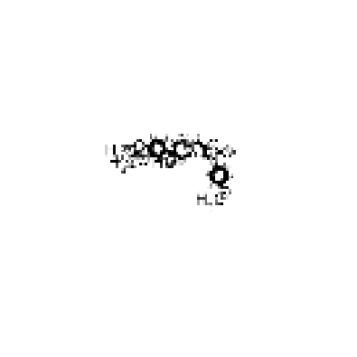 COc1ccc(N2CC(CN3CCC(O)(c4ccc5c(c4)OC(C)(C)O5)CC3)OC2=O)cc1